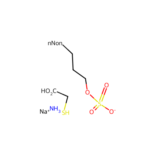 CCCCCCCCCCCCOS(=O)(=O)[O-].N.O=C(O)CS.[Na+]